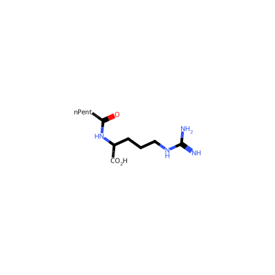 CCCCCC(=O)NC(CCCNC(=N)N)C(=O)O